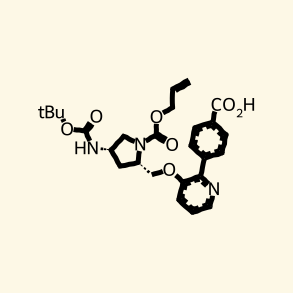 C=CCOC(=O)N1C[C@@H](NC(=O)OC(C)(C)C)C[C@H]1COc1cccnc1-c1ccc(C(=O)O)cc1